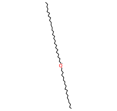 CCCCCCCCCCCCCCCCCCCCCCCCCCC[CH]OCCCCCCCCCCCCCCCCCCC